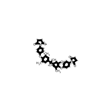 Cc1cc(C(C)(C)c2cc(C)c(Oc3ccc(N4C(=O)C=CC4=O)cc3)c(C)c2)cc(C)c1Oc1ccc(N2C(=O)C=CC2=O)cc1